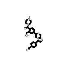 N#Cc1ccc(-c2cnc3cnc(-c4ccc(C(=O)N5CCNCC5)c(CO)c4)cn23)cc1